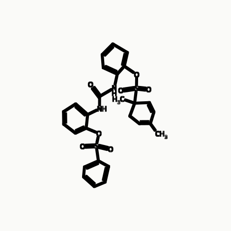 CC1=CCC(C)(S(=O)(=O)Oc2ccccc2NC(=O)Nc2ccccc2OS(=O)(=O)c2ccccc2)C=C1